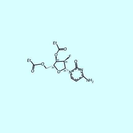 CCC(=O)OC[C@H]1O[C@@H](n2ccc(N)nc2=O)[C@H](F)[C@@H]1OC(=O)CC